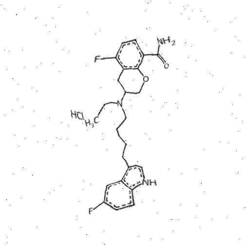 CCN(CCCCc1c[nH]c2ccc(F)cc12)C1COc2c(C(N)=O)ccc(F)c2C1.Cl